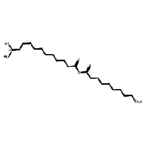 CCCCCC[C@@H](O)C/C=C\CCCCCCCC(=O)OC(=O)CCCCCCCCC(=O)O